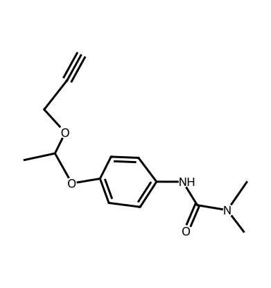 C#CCOC(C)Oc1ccc(NC(=O)N(C)C)cc1